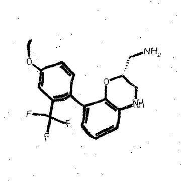 COc1ccc(-c2cccc3c2O[C@H](CN)CN3)c(C(F)(F)F)c1